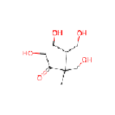 CC(CO)(C(=O)CO)C(CO)CO